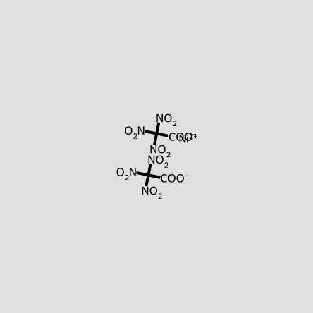 O=C([O-])C([N+](=O)[O-])([N+](=O)[O-])[N+](=O)[O-].O=C([O-])C([N+](=O)[O-])([N+](=O)[O-])[N+](=O)[O-].[Ni+2]